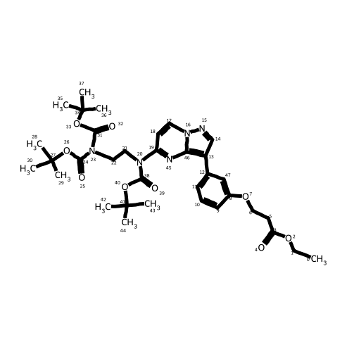 CCOC(=O)CCOc1cccc(-c2cnn3ccc(N(CCN(C(=O)OC(C)(C)C)C(=O)OC(C)(C)C)C(=O)OC(C)(C)C)nc23)c1